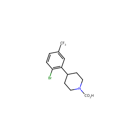 O=C(O)N1CCC(c2cc(C(F)(F)F)ccc2Br)CC1